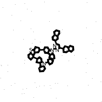 c1ccc(-n2c3ccccc3c3cc(-c4cccc5sc6ccc(-c7ccc8c(c7)c7ccccc7n8-c7nc(-c8ccc9ccccc9c8)cc(-c8ccc9ccccc9c8)n7)cc6c45)ccc32)cc1